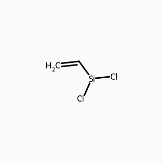 C=C[Si](Cl)Cl